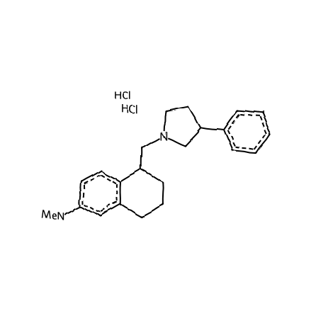 CNc1ccc2c(c1)CCCC2CN1CCC(c2ccccc2)C1.Cl.Cl